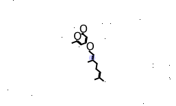 CC(C)=CCC/C(C)=C/COc1cc(C)oc(=O)c1